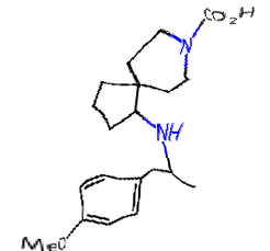 COc1ccc(C(C)NC2CCCC23CCN(C(=O)O)CC3)cc1